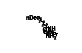 CCCCCCCCCCCCCCCC(=O)N[C@@H](CC(C)C)C(N)=O